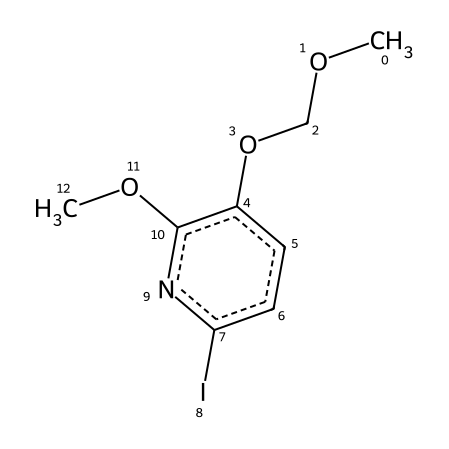 COCOc1ccc(I)nc1OC